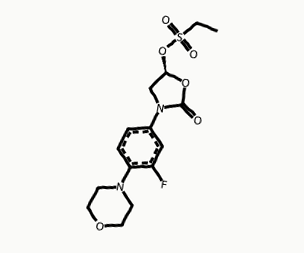 CCS(=O)(=O)O[C@@H]1CN(c2ccc(N3CCOCC3)c(F)c2)C(=O)O1